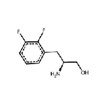 N[C@H](CO)Cc1cccc(F)c1F